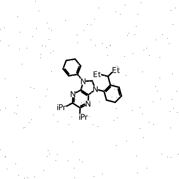 CCC(CC)C1=C(N2CN(C3=CCCC=C3)c3nc(C(C)C)c(C(C)C)nc32)CCC=C1